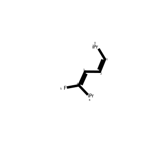 CC(C)/C=C\C=C(\F)C(C)C